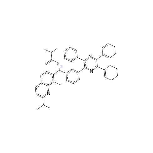 C=C(/C=C(/c1cccc(-c2nc(C3=CCCCC3)c(C3=CCCC=C3)nc2-c2ccccc2)c1)c1ccc2ccc(C(C)C)nc2c1C)C(C)C